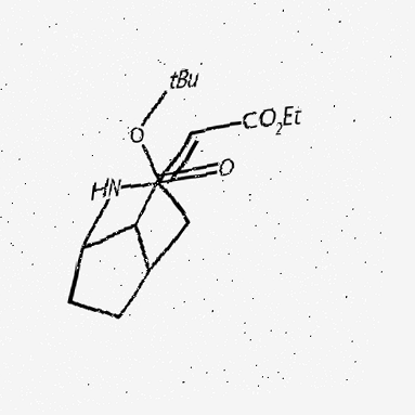 CCOC(=O)C=C1CC2CCC(N1)C2C(=O)OC(C)(C)C